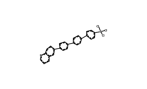 Cl[Si](Cl)(Cl)c1ccc(-c2ccc(-c3ccc(-c4ccc5ncccc5c4)cc3)cc2)cc1